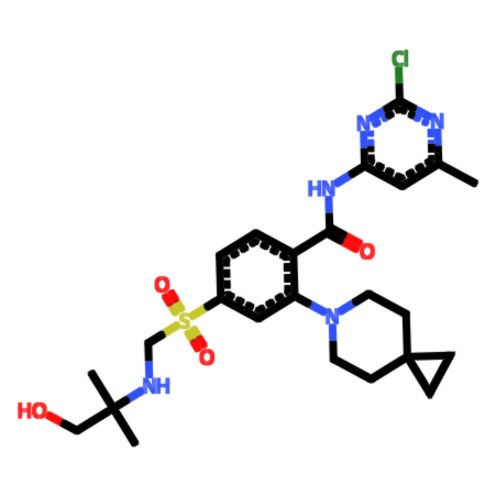 Cc1cc(NC(=O)c2ccc(S(=O)(=O)CNC(C)(C)CO)cc2N2CCC3(CC2)CC3)nc(Cl)n1